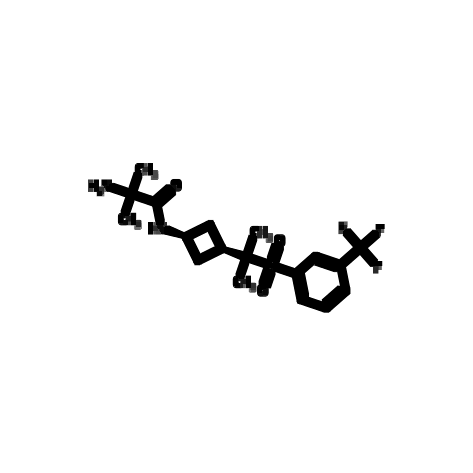 CC(C)(N)C(=O)N[C@H]1C[C@@H](C(C)(C)S(=O)(=O)c2cccc(C(F)(F)F)c2)C1